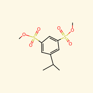 COS(=O)(=O)c1cc(C(C)C)cc(S(=O)(=O)OC)c1